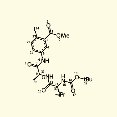 COC(=O)c1cc(NC(=O)[C@H](C)NC(=O)[C@@H](NC(=O)OC(C)(C)C)C(C)C)ccc1I